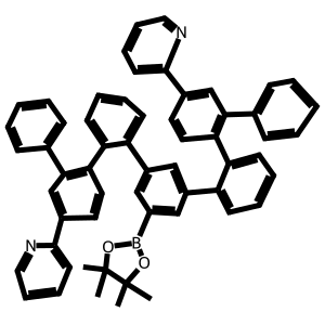 CC1(C)OB(c2cc(-c3ccccc3-c3ccc(-c4ccccn4)cc3-c3ccccc3)cc(-c3ccccc3-c3ccc(-c4ccccn4)cc3-c3ccccc3)c2)OC1(C)C